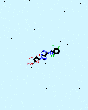 OC[C@H]1OC(n2cnc3c(NCc4c(Cl)ccc(Cl)c4Cl)ncnc32)[C@H](O)[C@@H]1O